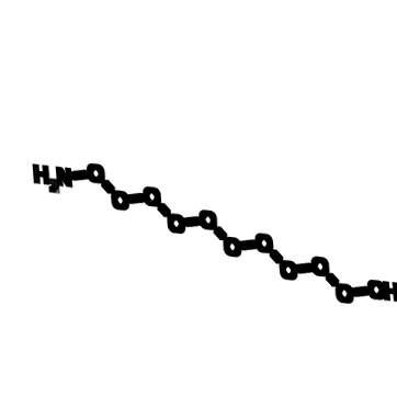 NOOOOOOOOOOO